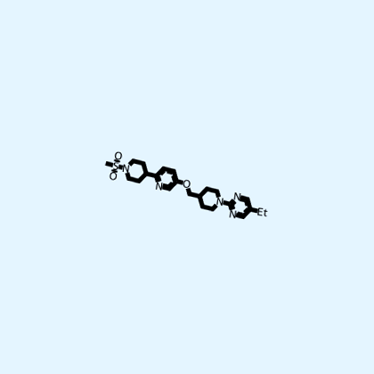 CCc1cnc(N2CCC(COc3ccc(C4CCN(S(C)(=O)=O)CC4)nc3)CC2)nc1